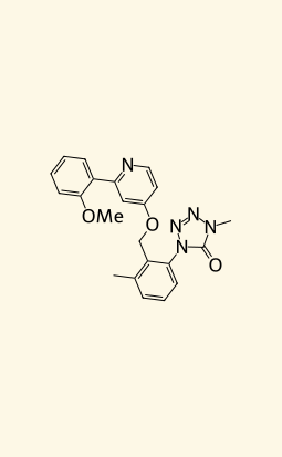 COc1ccccc1-c1cc(OCc2c(C)cccc2-n2nnn(C)c2=O)ccn1